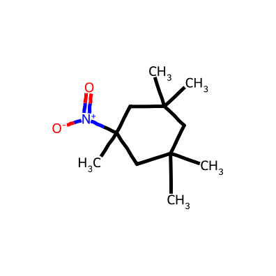 CC1(C)CC(C)(C)CC(C)([N+](=O)[O-])C1